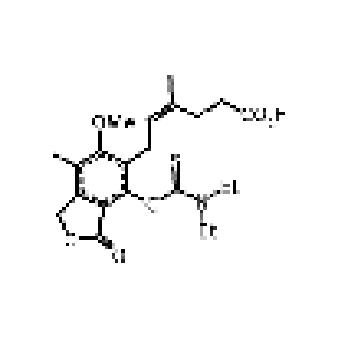 CCN(CC)C(=S)Oc1c(CC=C(C)CCC(=O)O)c(OC)c(C)c2c1C(=O)OC2